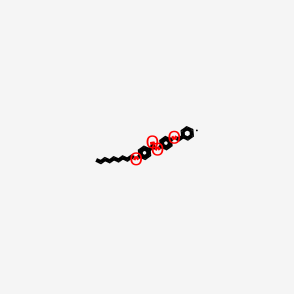 CCCCCCCCCOc1ccc(C(=O)Oc2ccc(OCC3CC[CH]CC3)cc2)cc1